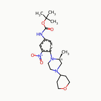 C[C@H]1CN(C2CCOCC2)CCN1c1ccc(NC(=O)OC(C)(C)C)cc1[N+](=O)[O-]